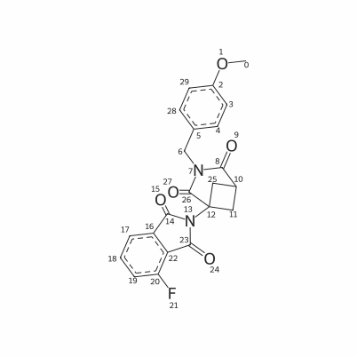 COc1ccc(CN2C(=O)C3CC(N4C(=O)c5cccc(F)c5C4=O)(C3)C2=O)cc1